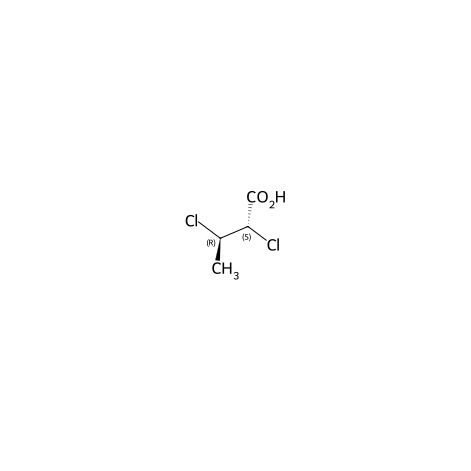 C[C@@H](Cl)[C@@H](Cl)C(=O)O